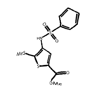 COC(=O)c1cc(NS(=O)(=O)c2ccccc2)c(SC)s1